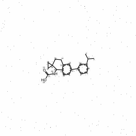 CC(C)c1cccc(-c2ccc3c(c2)CCC2(CC2)C3NC(=O)O)c1